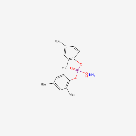 CC(C)(C)c1ccc(OP(=O)(O)Oc2ccc(C(C)(C)C)cc2C(C)(C)C)c(C(C)(C)C)c1.N